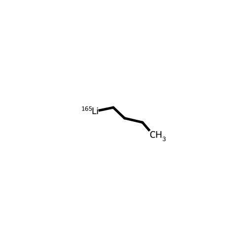 [165Li][CH2]CCC